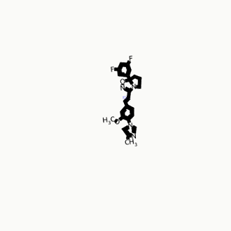 COc1cc(/C=C/C2=NOC3(c4cc(F)cc(F)c4)CCCN23)ccc1-n1cnc(C)c1